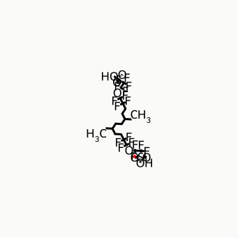 CCC(CCC(CC)CCC(F)(F)C(F)(F)OC(F)(F)C(F)(F)S(=O)(=O)O)CCC(F)(F)C(F)(F)OC(F)(F)C(F)(F)S(=O)(=O)O